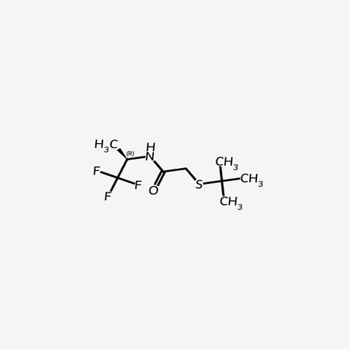 C[C@@H](NC(=O)CSC(C)(C)C)C(F)(F)F